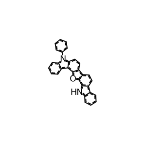 c1ccc(-n2c3ccccc3c3c4oc5c(ccc6c7ccccc7[nH]c65)c4ccc32)cc1